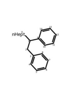 CCCCCCCC(Cc1ccccc1)c1ccccc1